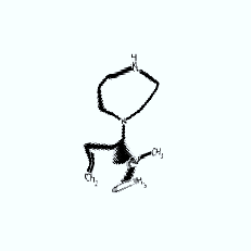 C=CC(N(C)C)N1CCNCC1